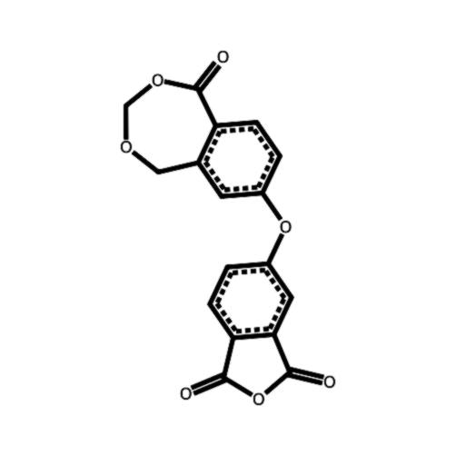 O=C1OCOCc2cc(Oc3ccc4c(c3)C(=O)OC4=O)ccc21